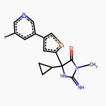 CN1C(=N)NC(c2cc(-c3cncc(I)c3)cs2)(C2CC2)C1=O